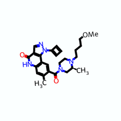 COCCCCN1CCN(C(=O)c2cc3c(cc2C)[nH]c(=O)c2cnn(C4=CC=C4)c23)C[C@@H]1C